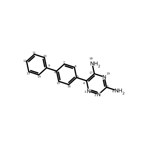 Nc1nnc(-c2ccc(-c3ccccc3)cc2)c(N)n1